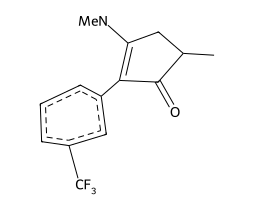 CNC1=C(c2cccc(C(F)(F)F)c2)C(=O)C(C)C1